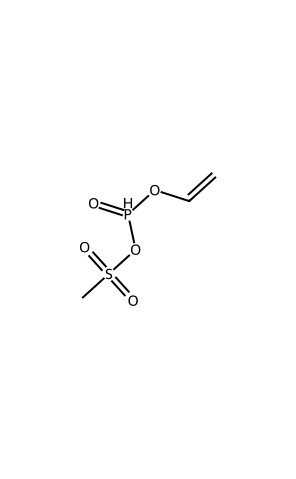 C=CO[PH](=O)OS(C)(=O)=O